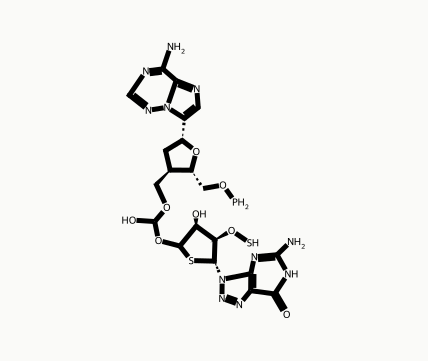 Nc1nc2c(nnn2[C@@H]2SC(OC(O)OC[C@H]3C[C@H](c4cnc5c(N)ncnn45)O[C@@H]3COP)[C@@H](O)[C@H]2OS)c(=O)[nH]1